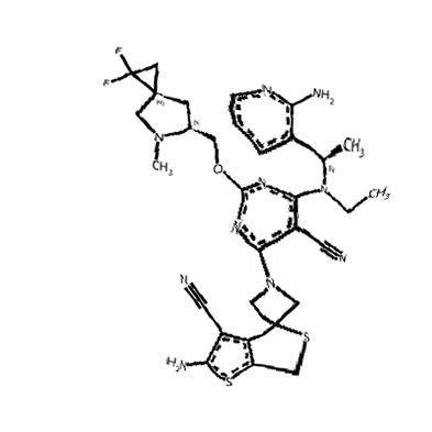 CCN(c1nc(OC[C@@H]2C[C@]3(CN2C)CC3(F)F)nc(N2CC3(C2)SCc2sc(N)c(C#N)c23)c1C#N)[C@H](C)c1cccnc1N